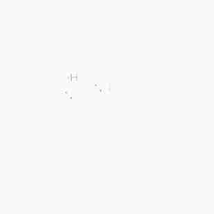 C=C\C=C/C=C/C(N)=N/O